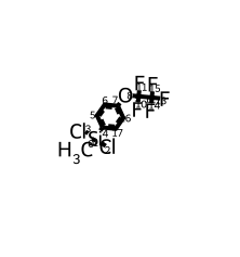 C[Si](Cl)(Cl)c1ccc(OC(F)(F)C(F)(F)F)cc1